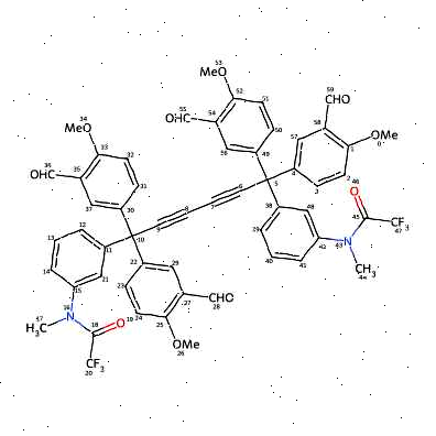 COc1ccc(C(C#CC#CC(c2cccc(N(C)C(=O)C(F)(F)F)c2)(c2ccc(OC)c(C=O)c2)c2ccc(OC)c(C=O)c2)(c2cccc(N(C)C(=O)C(F)(F)F)c2)c2ccc(OC)c(C=O)c2)cc1C=O